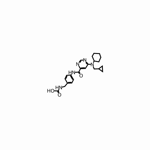 O=C(O)NCc1ccc(NC(=O)c2cc(N(CC3CC3)C3CCCCC3)ncn2)cc1